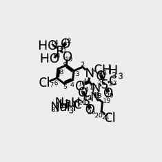 CN(Cc1ccc(Cl)cc1OP(=O)(O)O)C(=O)N(N(CCCl)S(C)(=O)=O)S(C)(=O)=O.[NaH].[NaH]